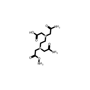 NOC(=O)CN(CCN(CC(N)=O)CC(=O)O)CC(N)=O